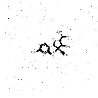 C#CC1(Cl)C(O)[C@@H]([C@@H](C)O)O[C@H]1n1ccc(N)nc1=O